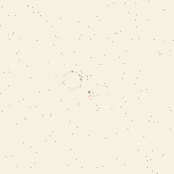 CCCC(C(=O)O)C1Cc2ccc(Cl)cc2C1=O